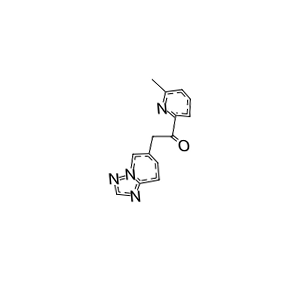 Cc1cccc(C(=O)Cc2ccc3ncnn3c2)n1